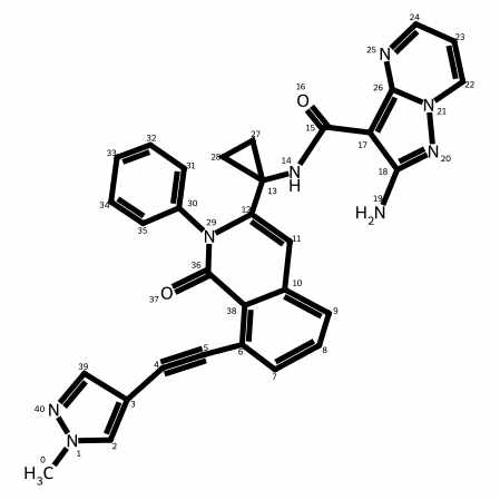 Cn1cc(C#Cc2cccc3cc(C4(NC(=O)c5c(N)nn6cccnc56)CC4)n(-c4ccccc4)c(=O)c23)cn1